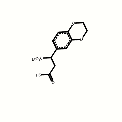 CCOC(=O)C(CC(=O)S)c1ccc2c(c1)OCCO2